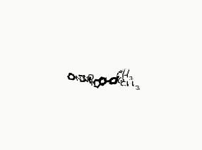 COc1ccc(-c2ccc3c(c2)CCN(CC(=O)N2CCN(C4CCCCC4)CC2)C3)cc1C